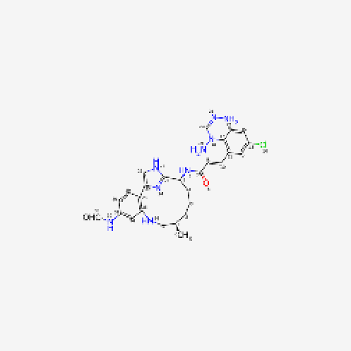 C[C@@H]1CCC[C@H](NC(=O)/C=C/c2cc(Cl)ccc2N(N)/C=N\N)c2nc(c[nH]2)-c2ccc(NC=O)cc2NC1